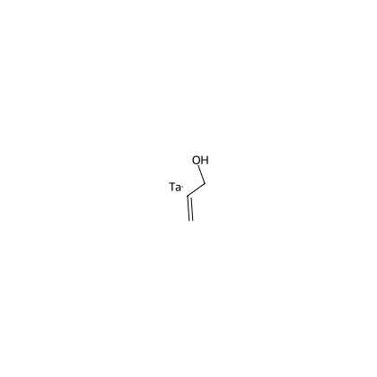 C=CCO.[Ta]